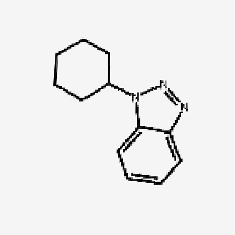 c1ccc2c(c1)nnn2C1CCCCC1